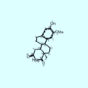 COc1cc2c(cc1O)CCC1C2CC[C@]2(C)C(=O)NC(=O)CC12